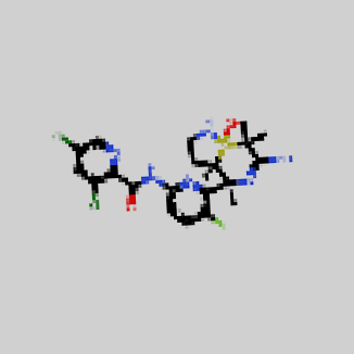 CC1(C)C(N)=N[C@](C)(c2nc(NC(=O)c3ncc(Cl)cc3Cl)ccc2F)[C@@H]2CCNS21O